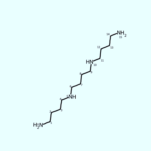 NCCCCNCCCCNCCCCN